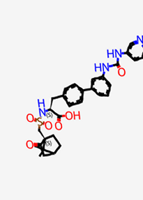 CC1(C)C2CC[C@@]1(CS(=O)(=O)N[C@@H](Cc1ccc(-c3cccc(NC(=O)Nc4cccnc4)c3)cc1)C(=O)O)C(=O)C2